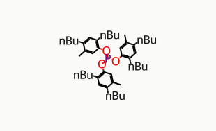 CCCCc1cc(CCCC)c(OP(Oc2cc(C)c(CCCC)cc2CCCC)Oc2cc(C)c(CCCC)cc2CCCC)cc1C